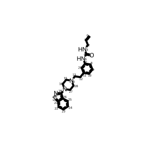 C=CCNC(=O)Nc1cccc(CCN2CCN(c3nsc4ccccc34)CC2)c1